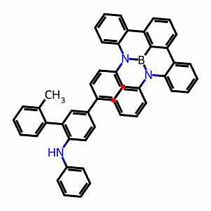 Cc1ccccc1-c1cc(-c2ccc(N3B4c5c(cccc5-c5ccccc53)-c3ccccc3N4c3ccccc3)cc2)ccc1Nc1ccccc1